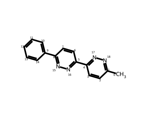 Cc1ccc(-c2ccc(-c3ccccc3)nn2)nn1